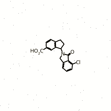 O=C(O)c1ccc2c(c1)C(N1Cc3cccc(Cl)c3C1=O)CC2